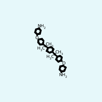 CC(C)(c1ccc(Oc2ccc(N)cc2)cc1)c1ccc(C(C)(C)c2ccc(Oc3ccc(N)cc3)cc2)cc1